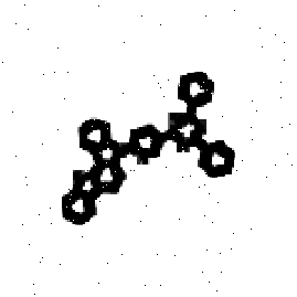 c1ccc(-c2nc(-c3ccccc3)nc(-c3ccc(-n4c5ccccc5c5c6sc7ccccc7c6ccc54)nc3)n2)cc1